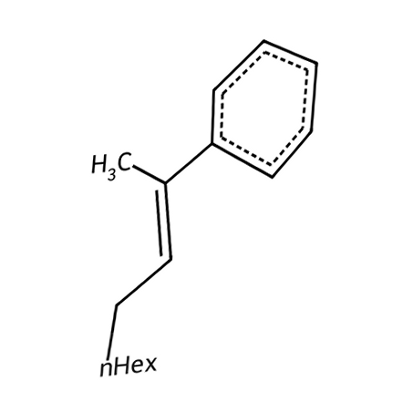 CCCCCCCC=C(C)c1ccccc1